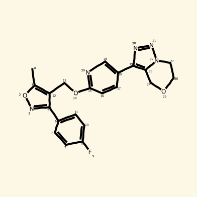 Cc1onc(-c2ccc(F)cc2)c1COc1ccc(-c2nnn3c2COCC3)cn1